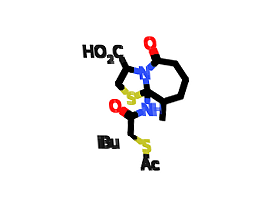 CC[C@H](C)[C@H](SC(C)=O)C(=O)NC12SCC(C(=O)O)N1C(=O)CCCC2C